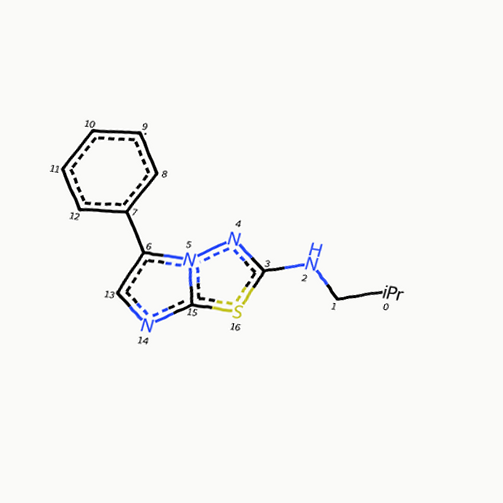 CC(C)CNc1nn2c(-c3c[c]ccc3)cnc2s1